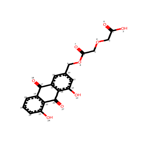 O=C(O)COCC(=O)OCc1cc(O)c2c(c1)C(=O)c1cccc(O)c1C2=O